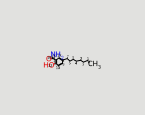 CCCCCCCCc1ccc(O)c(C(N)=O)c1